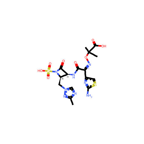 Cc1ncn(C[C@@H]2[C@H](NC(=O)/C(=N\OC(C)(C)C(=O)O)c3csc(N)n3)C(=O)N2S(=O)(=O)O)n1